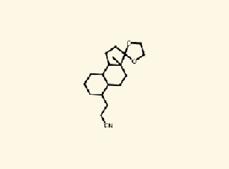 CC12CCC3C(CCC#N)CCCC3C1CCC21OCCO1